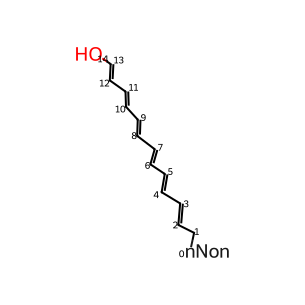 CCCCCCCCCC/C=C/C=C/C=C/C=C/C=C/C=C/O